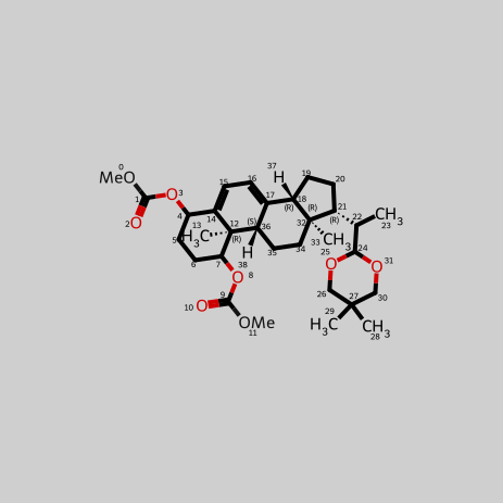 COC(=O)OC1CCC(OC(=O)OC)[C@@]2(C)C1=CC=C1[C@@H]3CC[C@H](C(C)C4OCC(C)(C)CO4)[C@@]3(C)CC[C@@H]12